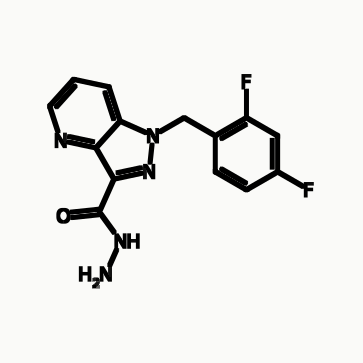 NNC(=O)c1nn(Cc2ccc(F)cc2F)c2cccnc12